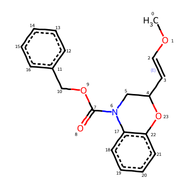 CO/C=C/C1CN(C(=O)OCc2ccccc2)c2ccccc2O1